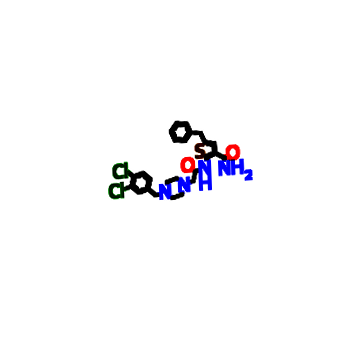 NC(=O)c1cc(Cc2ccccc2)sc1NC(=O)CN1CCN(Cc2ccc(Cl)c(Cl)c2)CC1